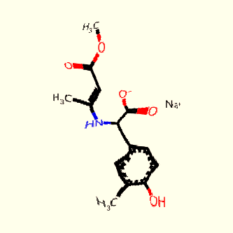 COC(=O)C=C(C)NC(C(=O)[O-])c1ccc(O)c(C)c1.[Na+]